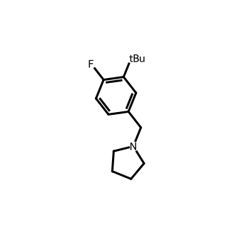 CC(C)(C)c1cc(CN2CCCC2)ccc1F